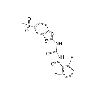 CS(=O)(=O)c1ccc2nc(NC(=O)NC(=O)c3c(F)cccc3F)sc2c1